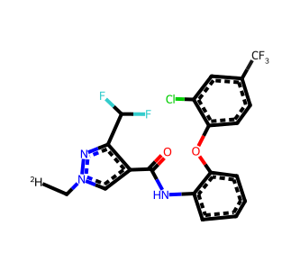 [2H]Cn1cc(C(=O)Nc2ccccc2Oc2ccc(C(F)(F)F)cc2Cl)c(C(F)F)n1